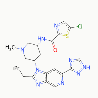 CC(C)Cc1nc2cnc(-c3nc[nH]n3)cc2n1[C@H]1C[C@@H](NC(=O)c2ncc(Cl)s2)CN(C)C1